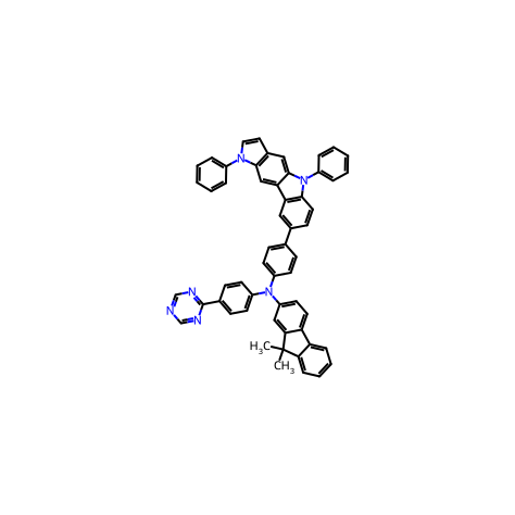 CC1(C)c2ccccc2-c2ccc(N(c3ccc(-c4ccc5c(c4)c4cc6c(ccn6-c6ccccc6)cc4n5-c4ccccc4)cc3)c3ccc(-c4ncncn4)cc3)cc21